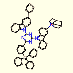 c1ccc(-c2ccc3c(c2)c2ccccc2n3-c2nc(-c3cccc([Si](c4ccccc4)(c4ccccc4)c4ccccc4)c3)nc(-n3c4ccccc4c4cc(N5C6CC7CC(C6)CC5C7)ccc43)n2)cc1